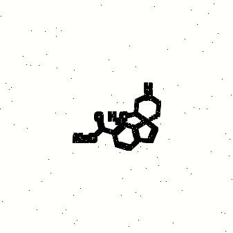 COC(=O)c1ccc2c(c1)[C@@]1(C=C2)CCNC[C@@H]1C